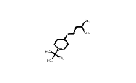 CC(C)CCSC1CCC(C(C)(C)C)CC1